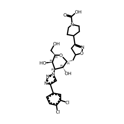 O=C(O)N1CCC(C2=NOC(C[C@H]3O[C@H](CO)[C@H](O)[C@H](n4cc(-c5ccc(Cl)c(Cl)c5)nn4)[C@H]3O)C2)CC1